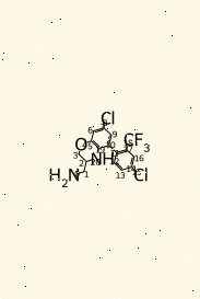 NCC1COc2cc(Cl)cc(-c3ccc(Cl)cc3C(F)(F)F)c2N1